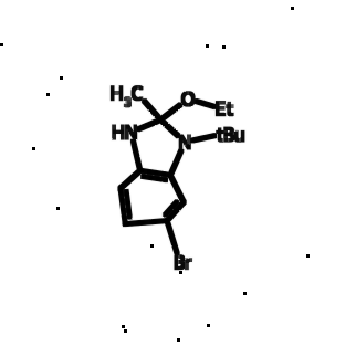 CCOC1(C)Nc2ccc(Br)cc2N1C(C)(C)C